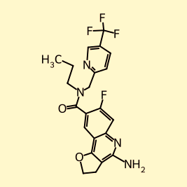 CCCN(Cc1ccc(C(F)(F)F)cn1)C(=O)c1cc2c3c(c(N)nc2cc1F)CCO3